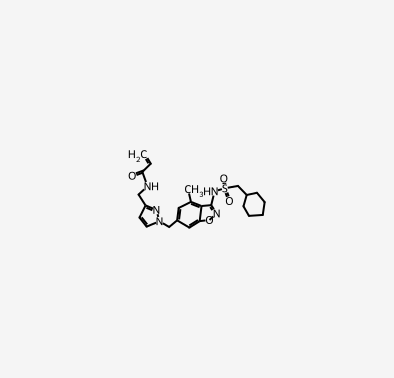 C=CC(=O)NCc1ccn(Cc2cc(C)c3c(NS(=O)(=O)CC4CCCCC4)noc3c2)n1